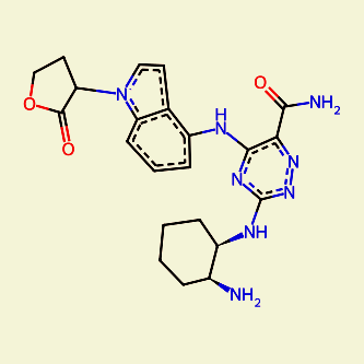 NC(=O)c1nnc(N[C@@H]2CCCC[C@@H]2N)nc1Nc1cccc2c1ccn2C1CCOC1=O